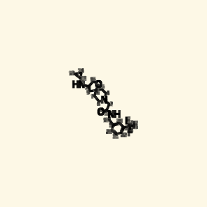 O=C(CN1CCC2(CC1)CC(NC1CC1)CO2)NCc1cccc(C(F)(F)F)c1